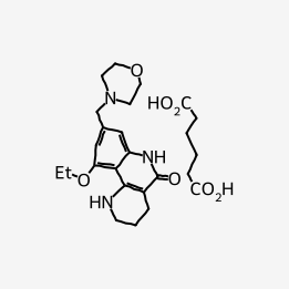 CCOc1cc(CN2CCOCC2)cc2[nH]c(=O)c3c(c12)NCCC3.O=C(O)CCCCC(=O)O